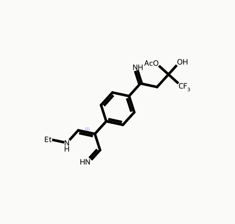 CCN/C=C(\C=N)c1ccc(C(=N)CC(O)(OC(C)=O)C(F)(F)F)cc1